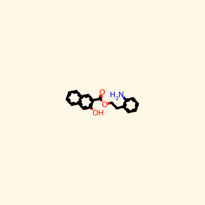 Nc1ccccc1CCOC(=O)c1cc2ccccc2cc1O